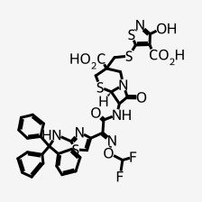 O=C(NC1C(=O)N2CC(CSc3snc(O)c3C(=O)O)(C(=O)O)CS[C@H]12)C(=NOC(F)F)c1csc(NC(c2ccccc2)(c2ccccc2)c2ccccc2)n1